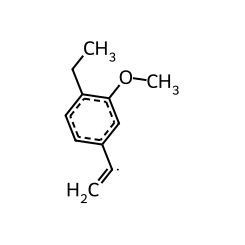 C=[C]c1ccc(CC)c(OC)c1